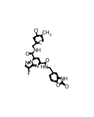 Cc1ccc(CNC(=O)c2cc(C(=O)NCc3ccc4oc(=O)[nH]c4c3)nc3c(F)cnn23)cc1Cl